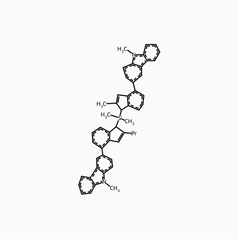 CC1=Cc2c(-c3ccc4c(c3)c3ccccc3n4C)cccc2C1[Si](C)(C)C1C(C(C)C)=Cc2c(-c3ccc4c(c3)c3ccccc3n4C)cccc21